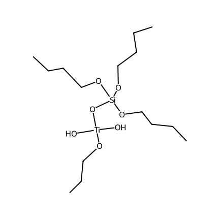 CCCCO[Si](OCCCC)(OCCCC)[O][Ti]([OH])([OH])[O]CCC